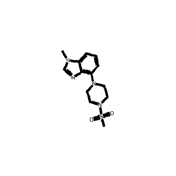 Cn1cnc2c(N3CCN(S(C)(=O)=O)CC3)cccc21